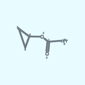 CCCC(=O)OC1[CH]C1